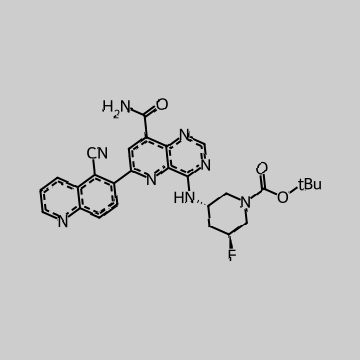 CC(C)(C)OC(=O)N1C[C@@H](F)C[C@H](Nc2ncnc3c(C(N)=O)cc(-c4ccc5ncccc5c4C#N)nc23)C1